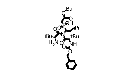 CC[C@H](C)[C@H](N)C(=O)N(C(=O)[C@@H](NC(=O)OCc1ccccc1)C(C)(C)C)C(CC(C)C)P(=O)(O)CC(=O)OC(C)(C)C